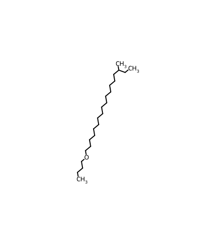 CCCCOCCCCCCCCCCCCCCCC(C)CC